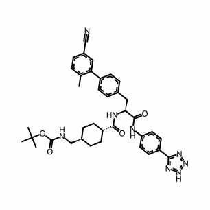 Cc1ccc(C#N)cc1-c1ccc(C[C@H](NC(=O)[C@H]2CC[C@H](CNC(=O)OC(C)(C)C)CC2)C(=O)Nc2ccc(-c3nn[nH]n3)cc2)cc1